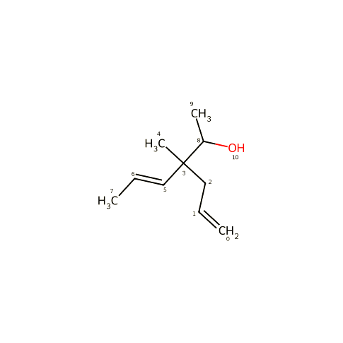 C=CCC(C)(C=CC)C(C)O